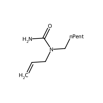 C=CCN(CCCCCC)C(N)=O